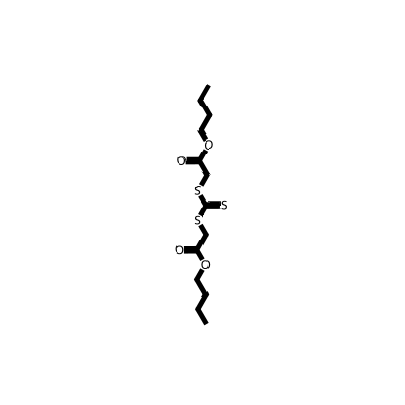 CCCCOC(=O)CSC(=S)SCC(=O)OCCCC